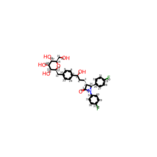 O=C1[C@H](CC[C@H](O)c2ccc(C[C@@H]3O[C@H](CO)[C@@H](O)[C@H](O)[C@H]3O)cc2)[C@@H](c2ccc(F)cc2)N1c1ccc(F)cc1